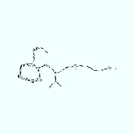 CC(C)N(CCCCN)C1CCCc2cccnc21